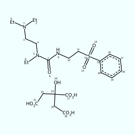 CCN(CC)CCN(CC)C(=O)NCCS(=O)(=O)c1ccccc1.O=C(O)CC(O)(CC(=O)O)C(=O)O